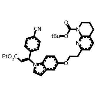 CCOC(=O)C=C(c1ccc(C#N)cc1)n1ccc2cc(OCCc3ccc4c(n3)N(C(=O)OC(C)(C)C)CCC4)ccc21